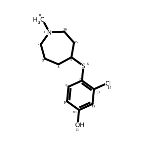 CN1CCCC(Sc2ccc(O)cc2Cl)CC1